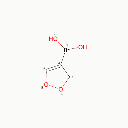 OB(O)C1=COOC1